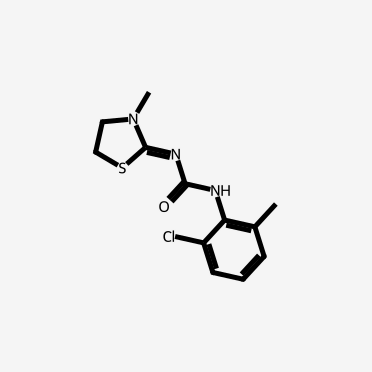 Cc1cccc(Cl)c1NC(=O)N=C1SCCN1C